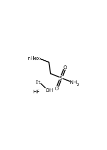 CCCCCCCCS(N)(=O)=O.CCO.F